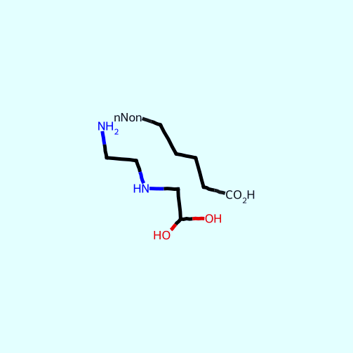 CCCCCCCCCCCCCC(=O)O.NCCNCC(O)O